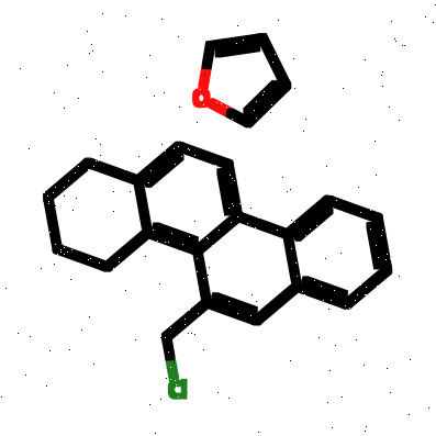 ClCc1cc2ccccc2c2ccc3c(c12)CCCC3.c1ccoc1